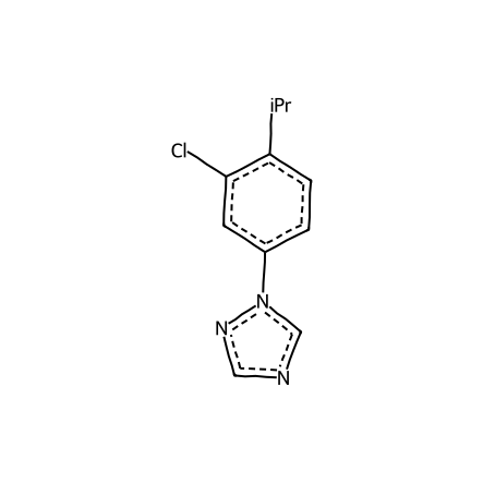 CC(C)c1ccc(-n2cncn2)cc1Cl